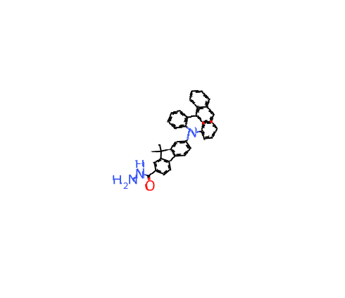 CC1(C)c2cc(C(=O)NN)ccc2-c2ccc(N(c3ccccc3)c3ccccc3-c3cccc4ccccc34)cc21